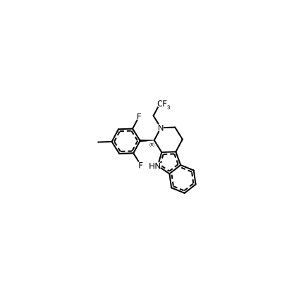 Cc1cc(F)c([C@@H]2c3[nH]c4ccccc4c3CCN2CC(F)(F)F)c(F)c1